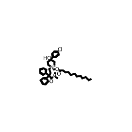 CCCCCCCCCCCC(=O)OC[N+]1(CCC(C(=O)N(C)C)(c2ccccc2)c2ccccc2)CCC(O)(c2ccc(Cl)cc2)CC1